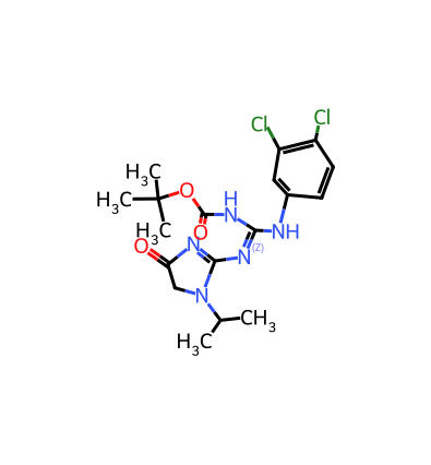 CC(C)N1CC(=O)N=C1/N=C(\NC(=O)OC(C)(C)C)Nc1ccc(Cl)c(Cl)c1